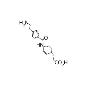 NCCc1ccc(C(=O)Nc2ccc(CCC(=O)O)cc2)cc1